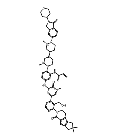 C=CC(=O)Nc1cc(Nc2nc(-c3ccnc(N4CCn5c(cc6c5CC(C)(C)C6)C4=O)c3CO)cn(C)c2=O)ccc1N1CCN(C2CCN(c3ccc4c(c3)CN(C3CCOCC3)C4=O)[C@H](C)C2)C[C@@H]1C